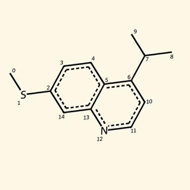 CSc1ccc2c(C(C)C)ccnc2c1